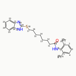 CC(C)c1cccc(C(C)C)c1NC(=O)CCCCCCCSc1nc2ccccc2[nH]1